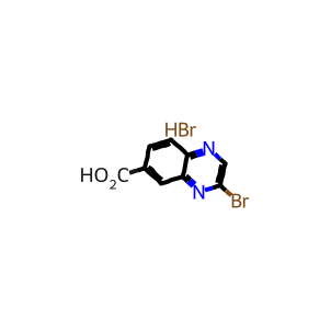 Br.O=C(O)c1ccc2ncc(Br)nc2c1